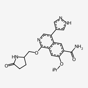 CC(C)Oc1cc2c(OCC3CCC(=O)N3)ncc(-c3cn[nH]c3)c2cc1C(N)=O